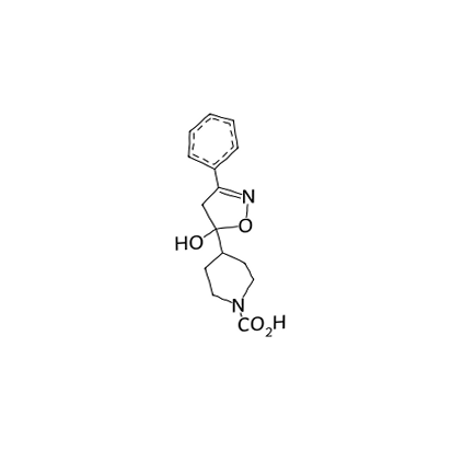 O=C(O)N1CCC(C2(O)CC(c3ccccc3)=NO2)CC1